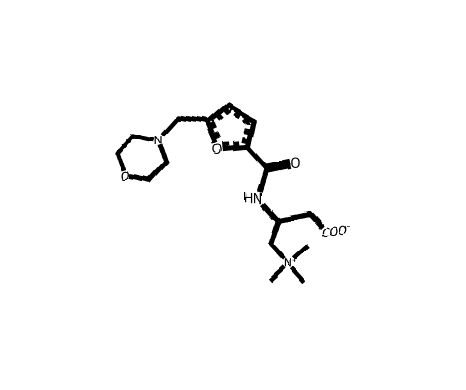 C[N+](C)(C)CC(CC(=O)[O-])NC(=O)c1ccc(CN2CCOCC2)o1